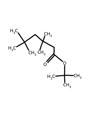 CC(C)(C)CC(C)(C)CC(=O)OC(C)(C)C